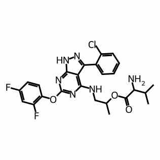 CC(CNc1nc(Oc2ccc(F)cc2F)nc2[nH]nc(-c3ccccc3Cl)c12)OC(=O)C(N)C(C)C